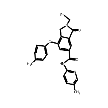 Cc1ccc(Oc2cc(C(=O)Nc3ccc(C)cn3)cc3c2CN(CC(C)C)C3=O)cc1